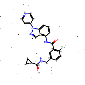 O=C(Nc1cccc2c1cnn2-c1ccncc1)c1cc(CNC(=O)C2CC2)ccc1Cl